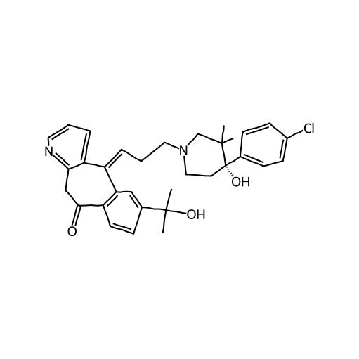 CC(C)(O)c1ccc2c(c1)C(=CCCN1CC[C@](O)(c3ccc(Cl)cc3)C(C)(C)C1)c1cccnc1CC2=O